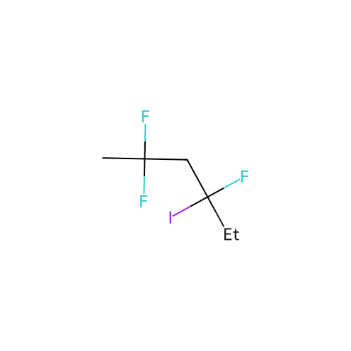 CCC(F)(I)CC(C)(F)F